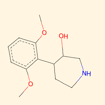 COc1cccc(OC)c1C1CCNCC1O